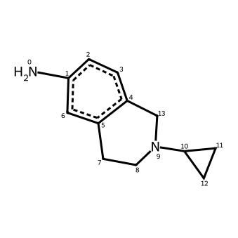 Nc1ccc2c(c1)CCN(C1CC1)C2